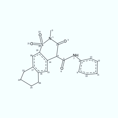 CN1C(=O)C(C(=O)Nc2ccccc2)c2cc3c(cc2S1(=O)=O)CCCC3